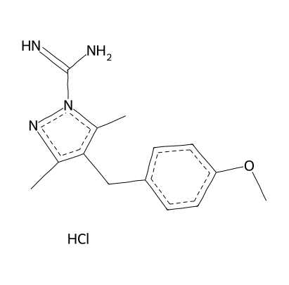 COc1ccc(Cc2c(C)nn(C(=N)N)c2C)cc1.Cl